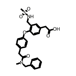 CN(Cc1ccccc1)C(=O)Cc1ccc(Oc2ccc(CC(=O)O)cc2CNS(C)(=O)=O)cc1